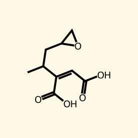 CC(CC1CO1)C(=CC(=O)O)C(=O)O